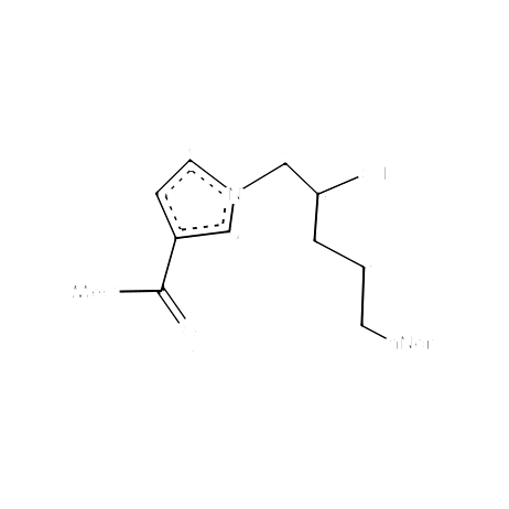 CCCCCCCCCCCCC(C)Cn1ccc(C(=O)OC)c1